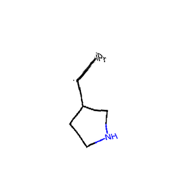 CC(C)[CH]C1CCNC1